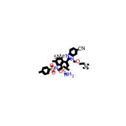 CSc1cc(C)c2c(ccn2S(=O)(=O)c2ccc(C)cc2)c1C(=CC(C)(C)[S+](N)[O-])c1nc2ccc(C#N)cc2n1COCC[Si](C)(C)C